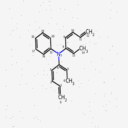 C=C/C=C\C(=C/C)N(C(/C=C\C=C)=C/C)c1ccccc1